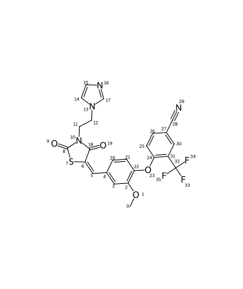 COc1cc(C=C2SC(=O)N(CCn3ccnc3)C2=O)ccc1Oc1ccc(C#N)cc1C(F)(F)F